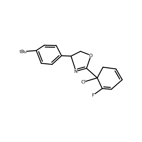 CC(C)(C)c1ccc(C2COC(C3(Cl)CC=CC=C3F)=N2)cc1